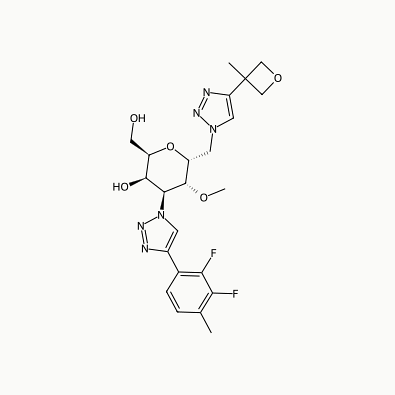 CO[C@@H]1[C@@H](n2cc(-c3ccc(C)c(F)c3F)nn2)[C@@H](O)[C@@H](CO)O[C@@H]1Cn1cc(C2(C)COC2)nn1